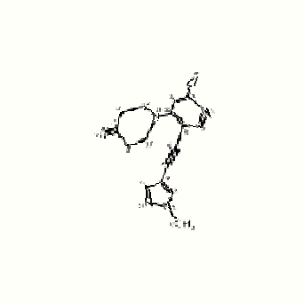 Cn1cc(C#Cc2cnc(Cl)cc2N2CCC(=O)CC2)cn1